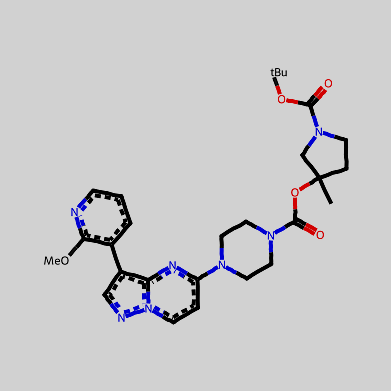 COc1ncccc1-c1cnn2ccc(N3CCN(C(=O)OC4(C)CCN(C(=O)OC(C)(C)C)C4)CC3)nc12